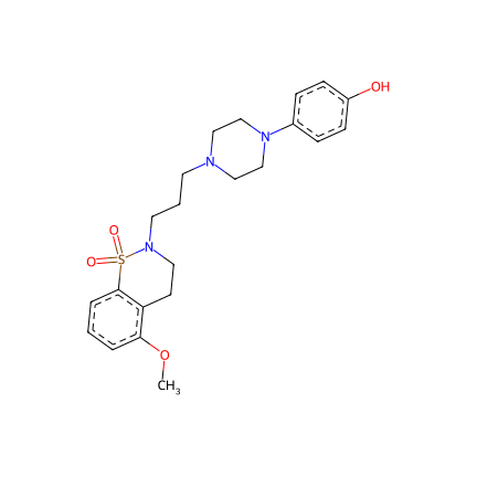 COc1cccc2c1CCN(CCCN1CCN(c3ccc(O)cc3)CC1)S2(=O)=O